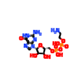 NCCOP(=O)(O)OP(=O)(O)OC[C@H]1O[C@@H](n2cnc3c(=O)[nH]c(N)nc32)[C@H](O)[C@@H]1O